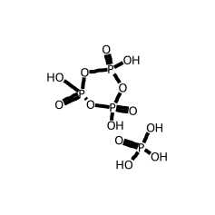 O=P(O)(O)O.O=P1(O)OP(=O)(O)OP(=O)(O)O1